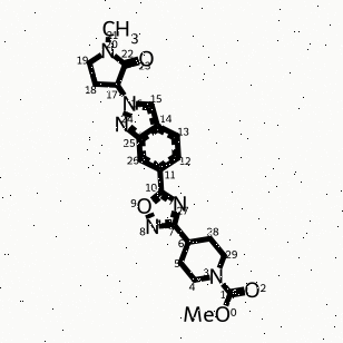 COC(=O)N1CCC(c2noc(-c3ccc4cn(C5CCN(C)C5=O)nc4c3)n2)CC1